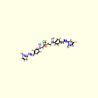 C[n+]1ccsc1/N=N/c1ccc(NCCOCCNc2ccc(/N=N/c3scc[n+]3C)cc2)cc1.[Cl-].[Cl-]